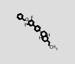 CCCC1CC[C@@H]2C[C@H](c3ccc(-c4cc(F)c(OCc5ccccc5)c(F)c4)cc3)CC[C@@H]2C1